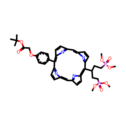 COP(=O)(CCC(CCP(=O)(OC)OC)C1=C2C=CC(=N2)C=C2C=CC(=N2)C(c2ccc(OCC(=O)OC(C)(C)C)cc2)=C2C=CC(=N2)C=C2C=CC1=N2)OC